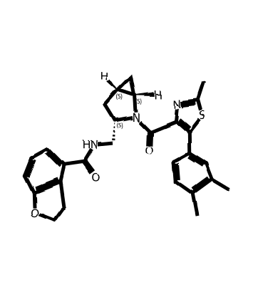 Cc1nc(C(=O)N2[C@H](CNC(=O)c3cccc4c3CCO4)C[C@@H]3C[C@@H]32)c(-c2ccc(C)c(C)c2)s1